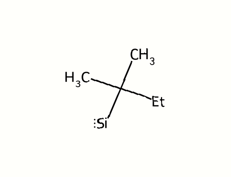 CCC(C)(C)[Si]